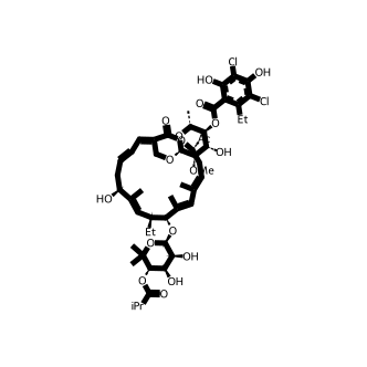 CCc1c(Cl)c(O)c(Cl)c(O)c1C(=O)O[C@H]1[C@H](O)[C@H](OC)[C@H](OC/C2=C\C=C\C[C@H](O)/C(C)=C/[C@H](CC)[C@@H](O[C@@H]3OC(C)(C)[C@@H](OC(=O)C(C)C)[C@H](O)[C@@H]3O)/C(C)=C/C(C)=C/C[C@@H](C(C)=O)OC2=O)O[C@@H]1C